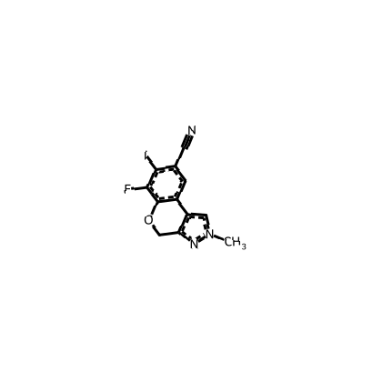 Cn1cc2c(n1)COc1c-2cc(C#N)c(I)c1F